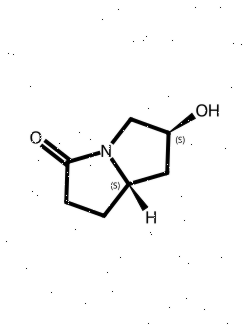 O=C1CC[C@H]2C[C@H](O)CN12